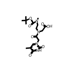 Cc1cn(CC(=O)N(CCN(C)C(=O)OC(C)(C)C)CC(=O)O)c(=O)[nH]c1=O